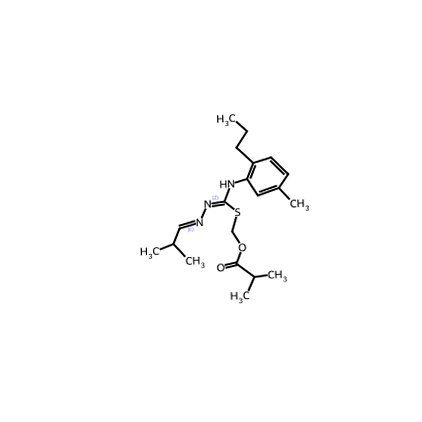 CCCc1ccc(C)cc1N/C(=N/N=C/C(C)C)SCOC(=O)C(C)C